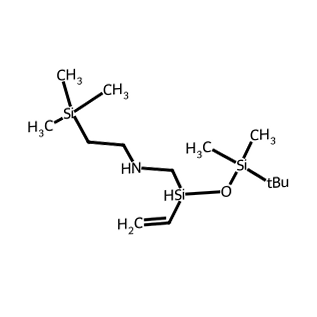 C=C[SiH](CNCC[Si](C)(C)C)O[Si](C)(C)C(C)(C)C